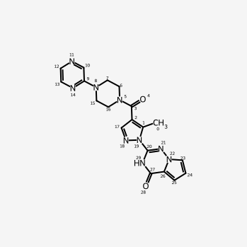 Cc1c(C(=O)N2CCN(c3cnccn3)CC2)cnn1-c1nn2cccc2c(=O)[nH]1